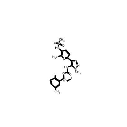 Cc1ccc(F)c([C@@H](CF)OC(=O)Nc2c(-c3ccc(NS(C)(=O)=O)c(C)n3)nnn2C)c1